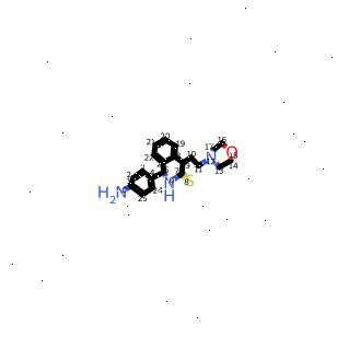 Nc1ccc(C2NC(=S)C(CCN3CCOCC3)c3ccccc32)cc1